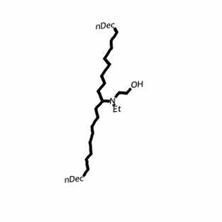 CCCCCCCCCCCCCCCCCCC(CCCCCCCCCCCCCCCCCC)N(CC)CCO